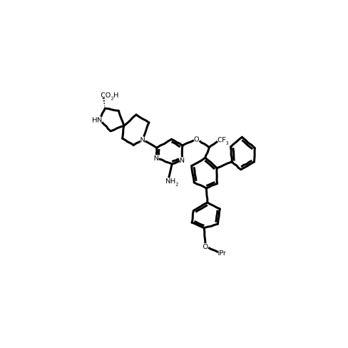 CC(C)Oc1ccc(-c2ccc(C(Oc3cc(N4CCC5(CC4)CN[C@H](C(=O)O)C5)nc(N)n3)C(F)(F)F)c(-c3ccccc3)c2)cc1